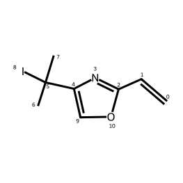 C=Cc1nc(C(C)(C)I)co1